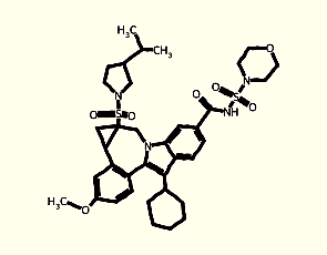 COc1ccc2c(c1)C1CC1(S(=O)(=O)N1CCC(C(C)C)C1)Cn1c-2c(C2CCCCC2)c2ccc(C(=O)NS(=O)(=O)N3CCOCC3)cc21